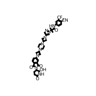 CC(C)(C(=O)Nc1ccc(C#N)c(C(F)(F)F)c1)n1cc(N2CC(N3CCN(C4CN(c5ccc6c(c5)C(=O)N(C5CCC(=O)NC5O)C6=O)C4)CC3)C2)cn1